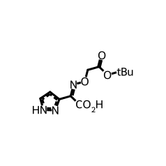 CC(C)(C)OC(=O)CON=C(C(=O)O)c1cc[nH]n1